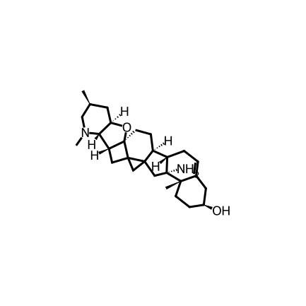 C[C@H]1C[C@H]2O[C@@]34CC[C@H]5[C@@H]6CC=C7C[C@@H](O)CC[C@]7(C)[C@@]6(N)CC56CC63C[C@@H]4[C@@H]2N(C)C1